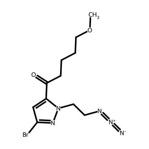 COCCCCC(=O)c1cc(Br)nn1CCN=[N+]=[N-]